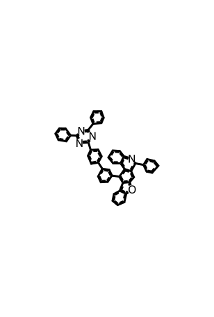 c1ccc(-c2nc(-c3ccccc3)nc(-c3ccc(-c4cccc(-c5c6c(cc7c(-c8ccccc8)nc8ccccc8c57)oc5ccccc56)c4)cc3)n2)cc1